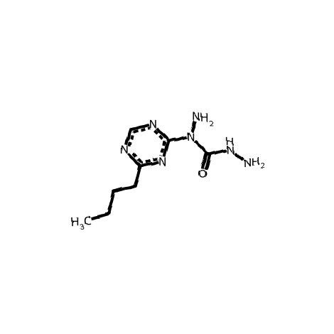 CCCCc1ncnc(N(N)C(=O)NN)n1